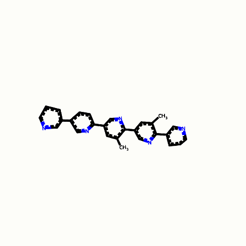 Cc1cc(-c2ccc(-c3cccnc3)cn2)cnc1-c1cnc(-c2cccnc2)c(C)c1